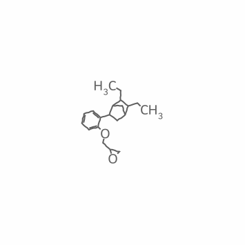 CCC1C2CC(c3ccccc3OCC3CO3)C(C2)C1CC